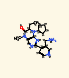 CCC1C(=O)N(C)c2cnc(-c3ccncc3CN)nc2N1C1CCCC1